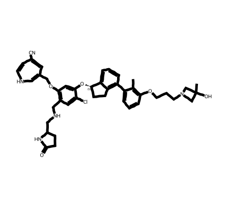 Cc1c(OCCCN2CC(C)(O)C2)cccc1-c1cccc2c1CC[C@@H]2Oc1cc(OCC2=CNC=CC(C#N)=C2)c(CNCC2CCC(=O)N2)cc1Cl